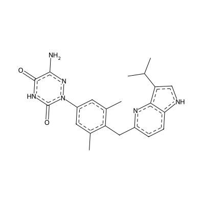 Cc1cc(-n2nc(N)c(=O)[nH]c2=O)cc(C)c1Cc1ccc2[nH]cc(C(C)C)c2n1